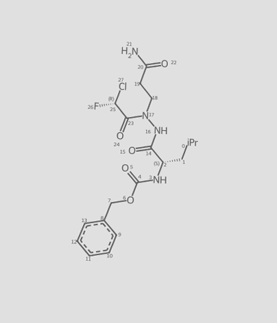 CC(C)C[C@H](NC(=O)OCc1ccccc1)C(=O)NN(CCC(N)=O)C(=O)[C@H](F)Cl